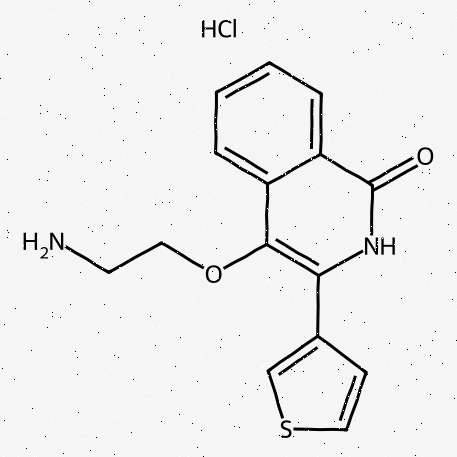 Cl.NCCOc1c(-c2ccsc2)[nH]c(=O)c2ccccc12